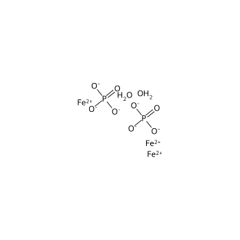 O.O.O=P([O-])([O-])[O-].O=P([O-])([O-])[O-].[Fe+2].[Fe+2].[Fe+2]